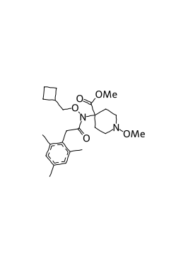 COC(=O)C1(N(OCC2CCC2)C(=O)Cc2c(C)cc(C)cc2C)CCN(OC)CC1